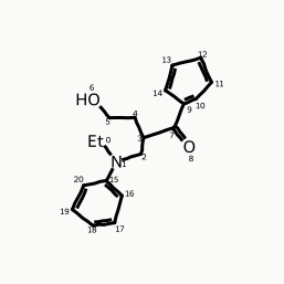 CCN(CC(CCO)C(=O)c1ccccc1)c1ccccc1